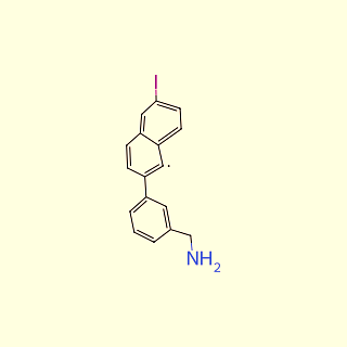 NCc1cccc(-c2[c]c3ccc(I)cc3cc2)c1